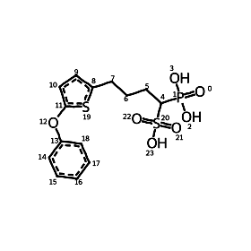 O=P(O)(O)C(CCCc1ccc(Oc2ccccc2)s1)S(=O)(=O)O